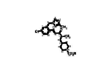 Cc1nnn(Cc2cc(Cl)ccc2C=CC(=O)N(C)CC2CCN(C(=O)O)CC2)n1